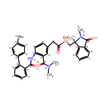 CCOC(=O)[C@]1(COC(=O)Cc2ccc(NC(=O)c3ccccc3-c3ccc(C(C)(C)C)cc3)c(C(=O)N(C)C)c2)c2ccccc2C(=O)N1C